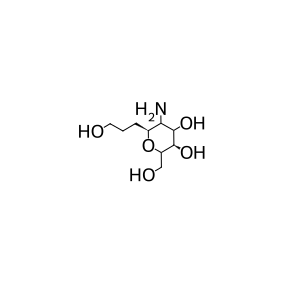 NC1C(O)[C@@H](O)C(CO)O[C@H]1CCCO